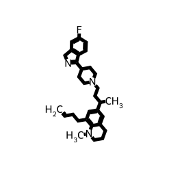 C=CCCc1cc(C(C)CCN2CCC(C3=NCc4cc(F)ccc43)CC2)cc2c1N(C)CCC2